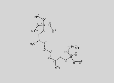 CCCO[Si](CCC(C)SSSSC(C)CC[Si](OCCC)(OCCC)OCCC)(OCCC)OCCC